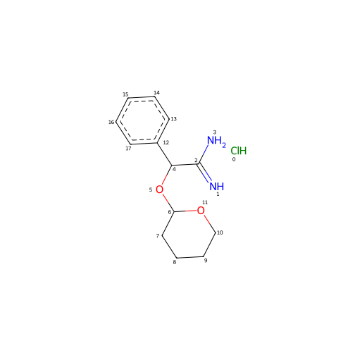 Cl.N=C(N)C(OC1CCCCO1)c1ccccc1